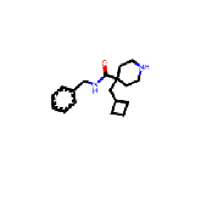 O=C(NCc1ccccc1)C1(CC2CCC2)CCNCC1